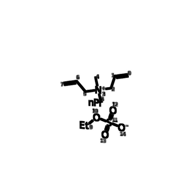 C=CC[N+](C)(CC=C)CCC.CCOS(=O)(=O)[O-]